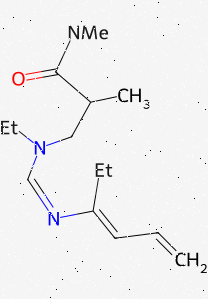 C=C/C=C(CC)/N=C\N(CC)CC(C)C(=O)NC